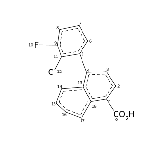 O=C(O)c1ccc(-c2cccc(F)c2Cl)c2ccccc12